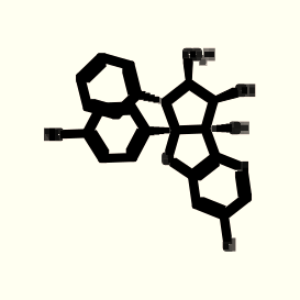 N#Cc1ccc([C@@]23Oc4cc(Cl)cnc4[C@]2(O)[C@H](O)[C@H](C(=O)O)[C@H]3c2ccccc2)cc1